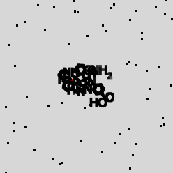 NC(=O)CC(CC(=O)Nc1ncc[nH]1)(c1ccccc1)C1(c2cc3ccccc3cn2)Nc2ccc(C(=O)O)cc2N1